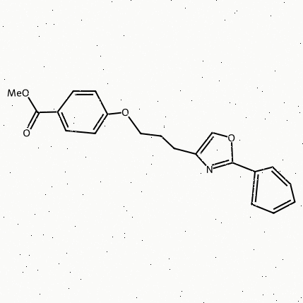 COC(=O)c1ccc(OCCCc2coc(-c3ccccc3)n2)cc1